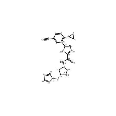 N#Cc1ccc(C2CC2)c(-c2nnc(C(=O)N[C@H]3CN[C@H](Cn4cccn4)C3)o2)c1